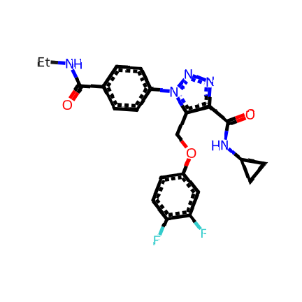 CCNC(=O)c1ccc(-n2nnc(C(=O)NC3CC3)c2COc2ccc(F)c(F)c2)cc1